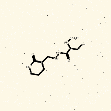 CC(C)CC(NC(=O)O)C(=O)NNCC1CCCNC1=O